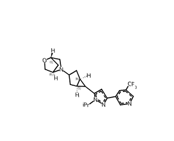 CC(C)n1nc(-c2cncc(C(F)(F)F)c2)cc1C1[C@H]2CC(N3C[C@@H]4C[C@@H]3CO4)C[C@@H]12